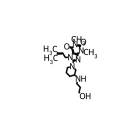 CC(C)=CCn1c(N2CCCC(NCCCO)C2)nc2c1c(=O)n(C)c(=O)n2C